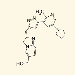 Cc1ncc(N2CCCC2)cc1-c1cn(C=C2CN3C=C(CO)C=CC3=N2)nn1